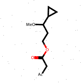 COC(CCOC(=O)CC(C)=O)C1CC1